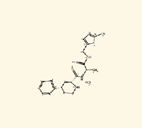 CC(NC(=O)[C@H]1C[C@@H](c2ccccc2)CCN1)C(=O)NCc1ccc(C#N)s1.Cl